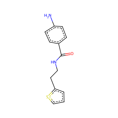 Nc1ccc(C(=O)NCCc2cccs2)cc1